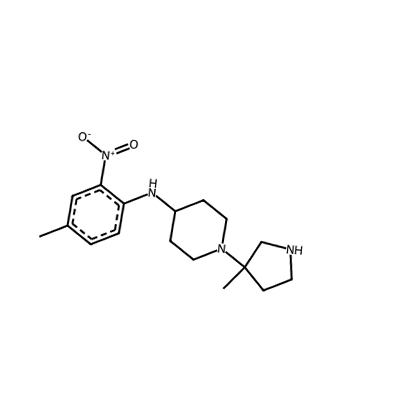 Cc1ccc(NC2CCN(C3(C)CCNC3)CC2)c([N+](=O)[O-])c1